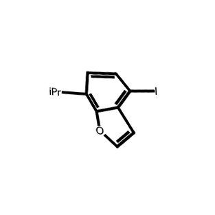 CC(C)c1ccc(I)c2ccoc12